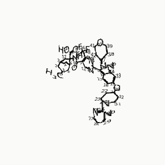 CC1CC2CC(C1)C(NC(=O)c1cnc(-c3c4ccc(OC5CCN(c6ncccn6)CC5)cc4nn3C3CCOCC3)nc1C(F)(F)F)(C(=O)O)C2